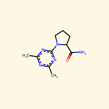 Cc1nc(C)nc(N2CCCC2C(N)=O)n1